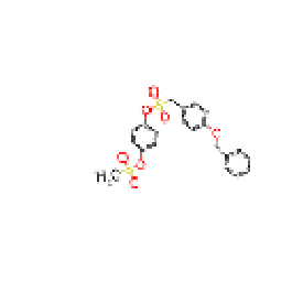 CS(=O)(=O)Oc1ccc(OS(=O)(=O)Cc2ccc(OCc3ccccc3)cc2)cc1